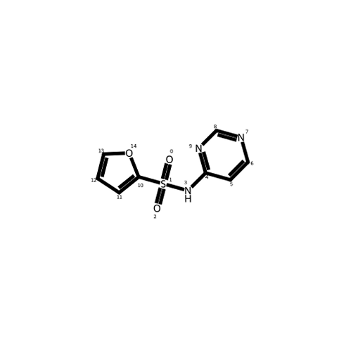 O=S(=O)(Nc1ccncn1)c1ccco1